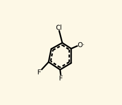 [O]c1cc(F)c(F)cc1Cl